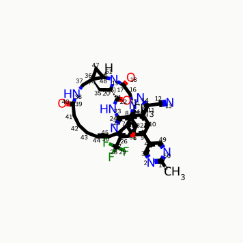 Cc1ncc(-c2cc3c4c(c2)c(C#N)nn4CC(=O)N2[C@H](C(=O)Nc4nc(C(F)(F)F)ccc4C)C[C@@]4(CNC(=O)CCCC=CC3)C[C@@H]24)cn1